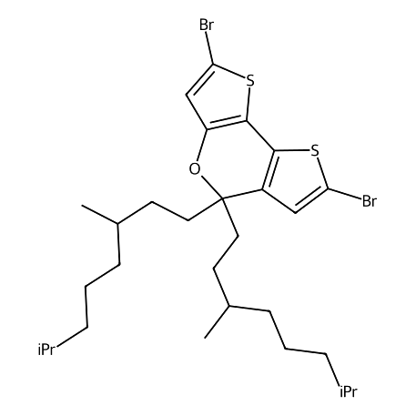 CC(C)CCCC(C)CCC1(CCC(C)CCCC(C)C)Oc2cc(Br)sc2-c2sc(Br)cc21